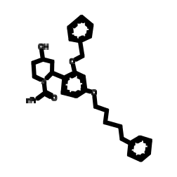 CCCC(=O)N1CCC(O)CC1c1ccc(OCCCCCc2ccccc2)cc1OCc1ccccc1